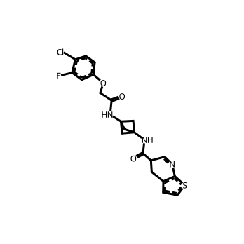 O=C(COc1ccc(Cl)c(F)c1)NC12CC(NC(=O)C3C=Nc4sccc4C3)(C1)C2